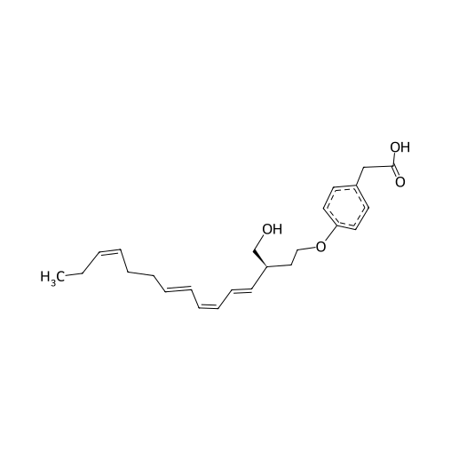 CC/C=C\CC/C=C/C=C\C=C\[C@@H](CO)CCOc1ccc(CC(=O)O)cc1